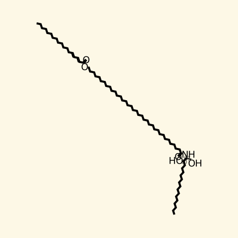 CCCCCCCCCCCCCC=CC=CC(=O)OCCCCCCCCCCCCCCCCCCCCCCCCCCCCCCCCCCCC(=O)N[C@@H](CO)[C@H](O)CCCCCCCCCCCCCCC